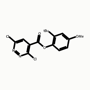 COc1ccc(OC(=O)c2cc(Cl)nnc2Cl)c(C(C)(C)C)c1